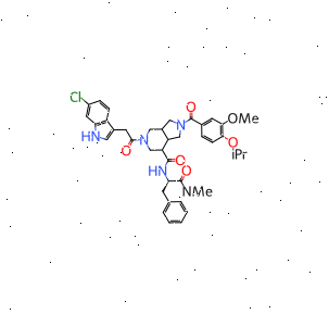 CNC(=O)[C@@H](Cc1ccccc1)NC(=O)C1CN(C(=O)Cc2c[nH]c3cc(Cl)ccc23)CC2CN(C(=O)c3ccc(OC(C)C)c(OC)c3)CC21